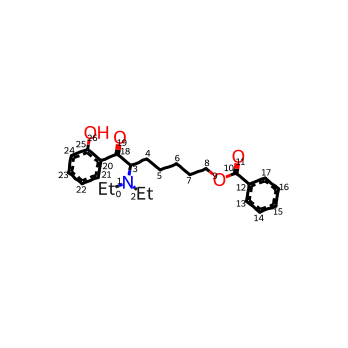 CCN(CC)C(CCCCCOC(=O)c1ccccc1)C(=O)c1ccccc1O